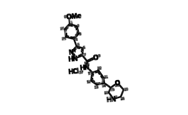 COc1ccc(-c2cc(C(=O)Nc3ccc(C4CNCCO4)cc3)[nH]n2)cc1.Cl